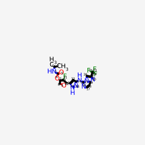 CC(C)NC(=O)O[C@H]1CO[C@@H](c2cc(Nc3nccc4nc(C(F)(F)F)cn34)n[nH]2)[C@@H]1F